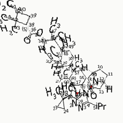 Cc1nnc(C(C)C)n1[C@H]1C[C@H]2CC[C@@H](C1)N2C(=O)[C@]12CC[C@@H](C3(C)CC3)[C@@H]1[C@H]1CC[C@@H]3[C@@]4(C)CC[C@H](OC(=O)[C@H]5C[C@@H](C(=O)O)C5(C)C)C(C)(C)[C@@H]4CC[C@@]3(C)[C@]1(C)CC2